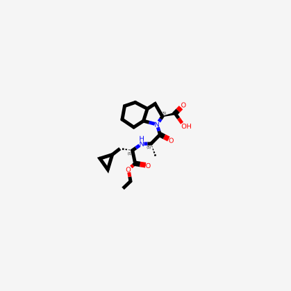 CCOC(=O)[C@H](CC1CC1)N[C@@H](C)C(=O)N1C2CCCCC2C[C@H]1C(=O)O